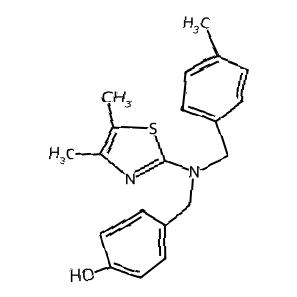 Cc1ccc(CN(Cc2ccc(O)cc2)c2nc(C)c(C)s2)cc1